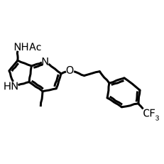 CC(=O)Nc1c[nH]c2c(C)cc(OCCc3ccc(C(F)(F)F)cc3)nc12